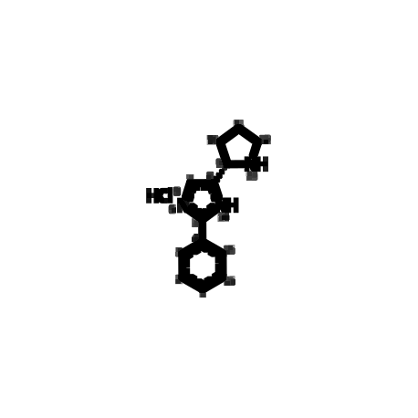 Cl.c1ccc(-c2ncc([C@@H]3CCCN3)[nH]2)cc1